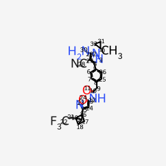 CC1(n2nc(-c3ccc(CC(=O)Nc4cc(C56CC(C5)C6CC(F)(F)F)no4)cc3)c(C#N)c2N)CC1